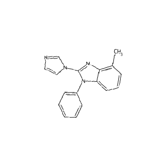 Cc1cccc2c1nc(-n1ccnc1)n2-c1ccccc1